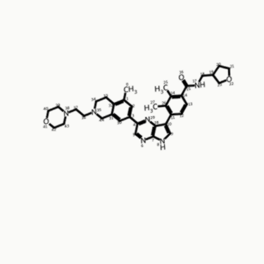 Cc1cc(-c2cnc3[nH]cc(-c4ccc(C(=O)NCC5CCOC5)c(C)c4C)c3n2)cc2c1CCN(CCN1CCOCC1)C2